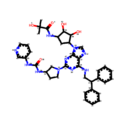 CC(C)(O)C(=O)NC1CC(n2cnc3c(NCC(c4ccccc4)c4ccccc4)nc(N4CCC(NC(=O)Nc5cccnc5)C4)nc32)C(O)C1O